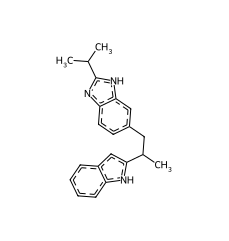 CC(C)c1nc2ccc(CC(C)c3cc4ccccc4[nH]3)cc2[nH]1